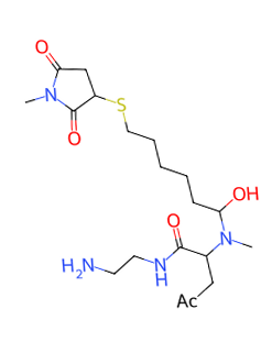 CC(=O)CC(C(=O)NCCN)N(C)C(O)CCCCCSC1CC(=O)N(C)C1=O